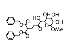 CO[C@H]1O[C@H](C(O)C(=O)CCC(C(=O)OCc2ccccc2)C(=O)OCc2ccccc2)[C@@H](O)[C@H](O)[C@@H]1O